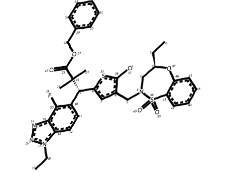 CC[C@@H]1CN(Cc2cc([C@H](c3ccc4c(nnn4CC)c3F)C(C)(C)C(=O)OCc3ccccc3)sc2Cl)S(=O)(=O)c2ccccc2O1